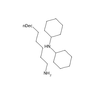 C1CCC(NC2CCCCC2)CC1.CCCCCCCCCCCCCCCN